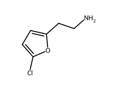 NCCc1ccc(Cl)o1